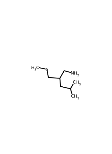 CSCC(CN)CC(C)C